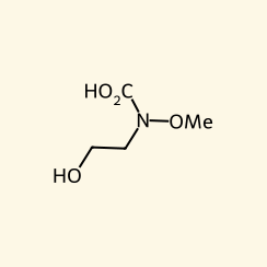 CON(CCO)C(=O)O